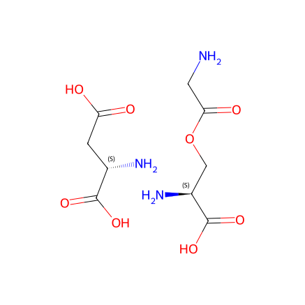 NCC(=O)OC[C@H](N)C(=O)O.N[C@@H](CC(=O)O)C(=O)O